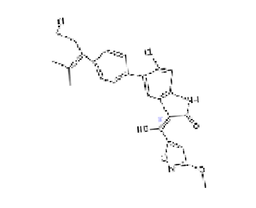 COc1cc(/C(O)=C2\C(=O)Nc3cc(Cl)c(-c4ccc(C(CCCl)=C(C)C)cc4)cc32)on1